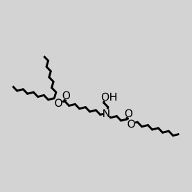 CCCCCCCCCOC(=O)CCCN(CCO)CCCCCCCC(=O)OC(CCCCCCCC)CCCCCCCC